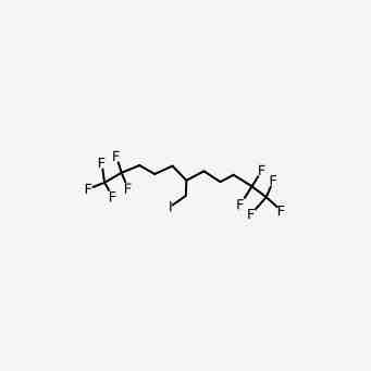 FC(F)(F)C(F)(F)CCCC(CI)CCCC(F)(F)C(F)(F)F